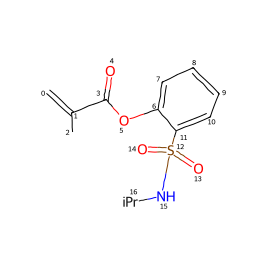 C=C(C)C(=O)Oc1ccccc1S(=O)(=O)NC(C)C